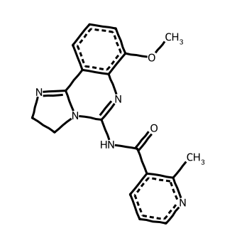 COc1cccc2c1N=C(NC(=O)c1cccnc1C)N1CCN=C21